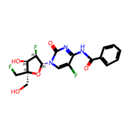 O=C(Nc1nc(=O)n([C@@H]2O[C@@](CO)(CF)[C@@H](O)[C@H]2F)cc1F)c1ccccc1